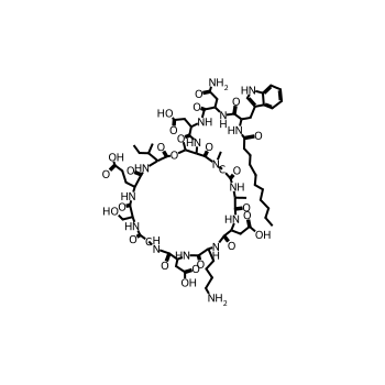 CCCCCCCCCCC(=O)NC(Cc1c[nH]c2ccccc12)C(=O)NC(CC(N)=O)C(=O)NC(CC(=O)O)C(=O)NC1C(=O)N(C)CC(=O)NC(C)C(=O)NC(CC(=O)O)C(=O)NC(CCCCN)C(=O)NC(CC(=O)O)C(=O)NCC(=O)NC(CO)C(=O)NC(CCC(=O)O)C(=O)NC(C(C)CC)C(=O)OC1C